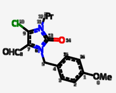 COc1ccc(Cn2c(C=O)c(Cl)n(C(C)C)c2=O)cc1